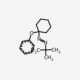 CC(C)(C)N=NC1(Oc2ccccc2)CCCCC1